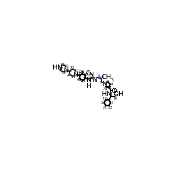 C=N/C(=N\C=C(\C)Cn1ccc(C(=O)NC(CO)c2ccccc2)c1)Nc1ccc(N2CCC(N3CCNCC3)CC2)cc1